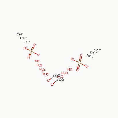 O.O.O.O.O.O=C([O-])[O-].O=C([O-])[O-].O=S(=O)([O-])[O-].O=S(=O)([O-])[O-].[Ca+2].[Ca+2].[Ca+2].[Ca+2].[Ca+2].[OH-].[OH-].[SiH4]